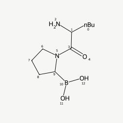 CCCCC(N)C(=O)N1CCCC1B(O)O